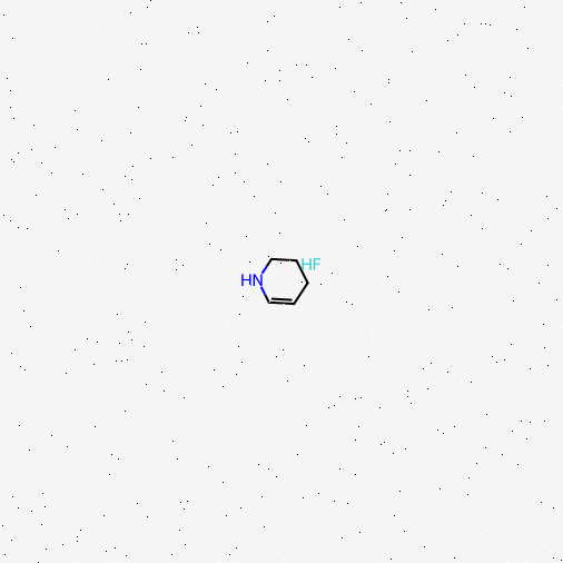 C1=CNCCC1.F